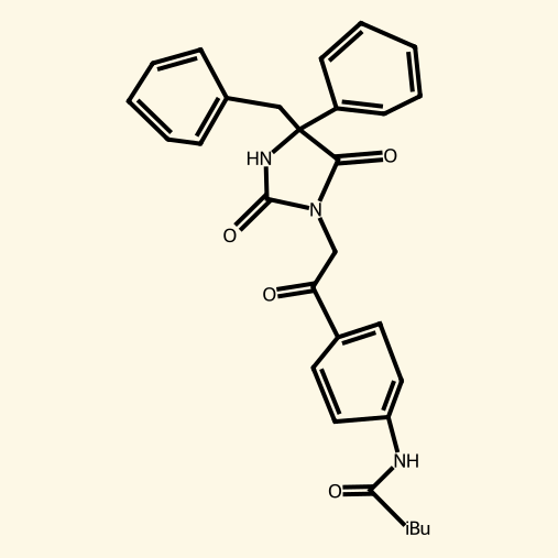 CCC(C)C(=O)Nc1ccc(C(=O)CN2C(=O)NC(Cc3ccccc3)(c3ccccc3)C2=O)cc1